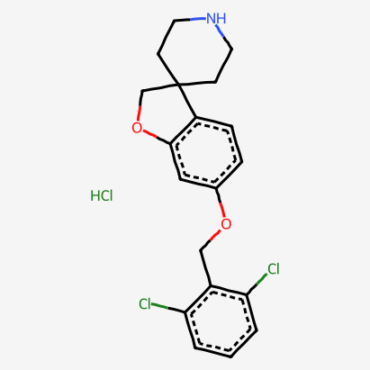 Cl.Clc1cccc(Cl)c1COc1ccc2c(c1)OCC21CCNCC1